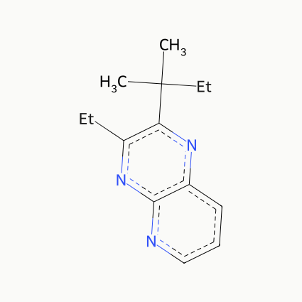 CCc1nc2ncccc2nc1C(C)(C)CC